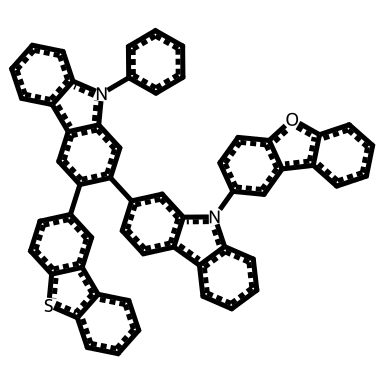 c1ccc(-n2c3ccccc3c3cc(-c4ccc5sc6ccccc6c5c4)c(-c4ccc5c6ccccc6n(-c6ccc7oc8ccccc8c7c6)c5c4)cc32)cc1